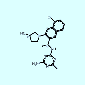 Cc1nc(N)nc(N[C@@H](C)c2cc3cccc(Cl)c3nc2N2CC[C@@H](O)C2)n1